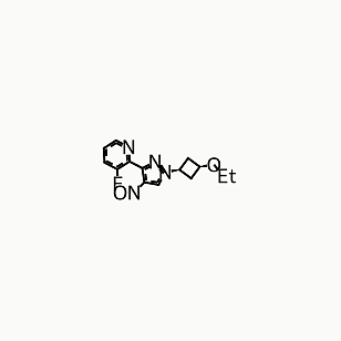 CCO[C@H]1C[C@@H](n2cc(N=O)c(-c3ncccc3F)n2)C1